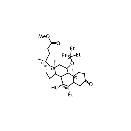 CC[C@H]1C2CC(=O)CC[C@]2(C)C2C(O[Si](CC)(CC)CC)C[C@@]3(C)C(CC[C@@H]3[C@H](C)CCC(=O)OC)C2[C@@H]1O